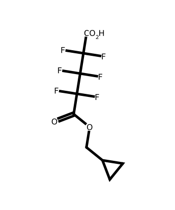 O=C(O)C(F)(F)C(F)(F)C(F)(F)C(=O)OCC1CC1